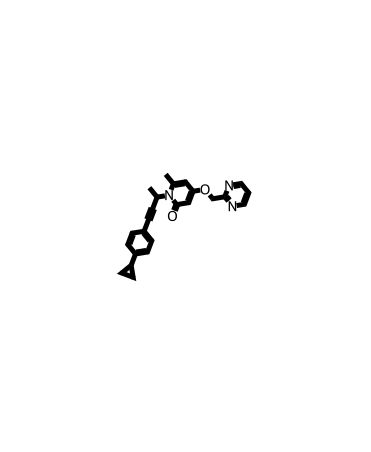 Cc1cc(OCc2ncccn2)cc(=O)n1C(C)C#Cc1ccc(C2CC2)cc1